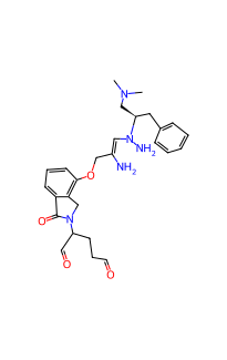 CN(C)C[C@@H](Cc1ccccc1)N(N)/C=C(\N)COc1cccc2c1CN(C(C=O)CCC=O)C2=O